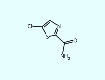 NC(=O)c1ncc(Cl)s1